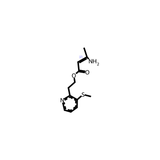 CSc1cccnc1CCOC(=O)/C=C(/C)N